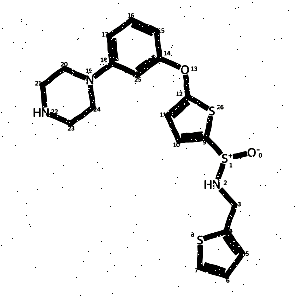 [O-][S+](NCc1cccs1)c1ccc(Oc2cccc(N3CCNCC3)c2)s1